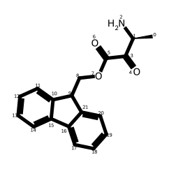 C[C@H](N)C(=O)C(=O)OCC1c2ccccc2-c2ccccc21